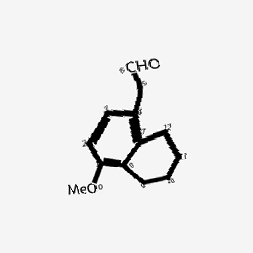 COc1ccc(CC=O)c2c1CCCC2